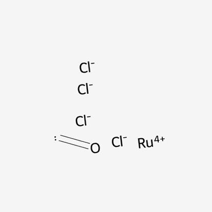 [C]=O.[Cl-].[Cl-].[Cl-].[Cl-].[Ru+4]